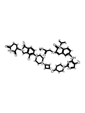 CNC(=O)COc1cc2cc(Nc3nc(N4CCC(O[C@H]5C[C@H](N6CCN(c7ccc8c(c7Cl)CN(C7CCC(=O)NC7=O)C8=O)CC6)C5)CC4)ncc3Cl)ccc2n(C(C)C)c1=O